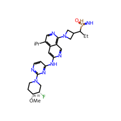 CCC(C1CN(c2ncc(C(C)C)c3cc(Nc4ccnc(N5CC[C@@H](OC)[C@@H](F)C5)n4)ncc23)C1)[SH](=N)=O